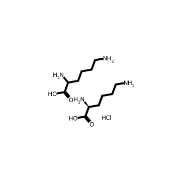 Cl.NCCCCC(N)C(=O)O.NCCCC[C@H](N)C(=O)O